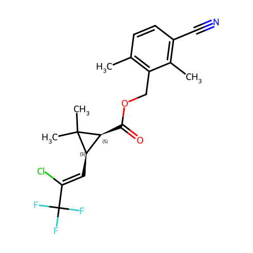 Cc1ccc(C#N)c(C)c1COC(=O)[C@H]1[C@@H](C=C(Cl)C(F)(F)F)C1(C)C